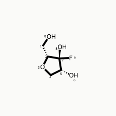 OC[C@H]1O[CH][C@@H](O)[C@@]1(O)F